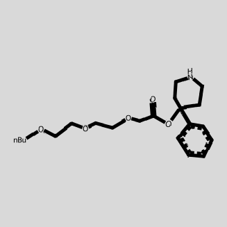 CCCCOCCOCCOCC(=O)OC1(c2ccccc2)CCNCC1